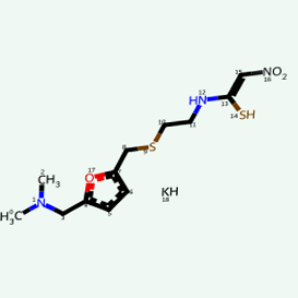 CN(C)Cc1ccc(CSCCNC(S)=C[N+](=O)[O-])o1.[KH]